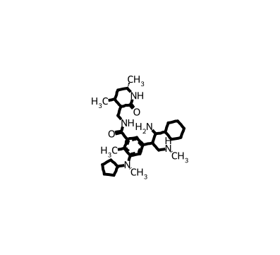 CNCC(c1cc(C(=O)NCC2C(=O)N[C@@H](C)CC2C)c(C)c(N(C)C2CCCC2)c1)C(N)C1CCCCC1